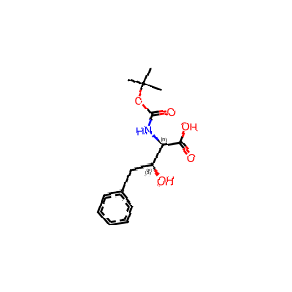 CC(C)(C)OC(=O)N[C@@H](C(=O)O)[C@@H](O)Cc1ccccc1